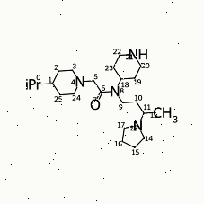 CC(C)C1CCN(CC(=O)N(CCC(C)N2CCCC2)C2CCNCC2)CC1